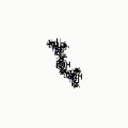 CC(C)(C)OC(=O)/N=C(\NC(=O)OC(C)(C)C)N1CC=C(c2ccc(C(=O)Nc3cc(F)c(C4=CCN(/C(=N/C(=O)OC(C)(C)C)NC(=O)OC(C)(C)C)CC4)cc3F)s2)CC1